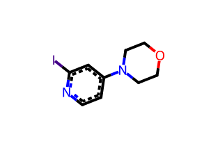 Ic1cc(N2CCOCC2)ccn1